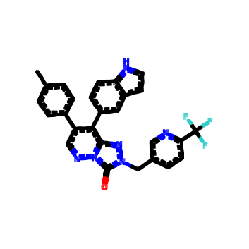 Cc1ccc(-c2cnn3c(=O)n(Cc4ccc(C(F)(F)F)nc4)nc3c2-c2ccc3[nH]ccc3c2)cc1